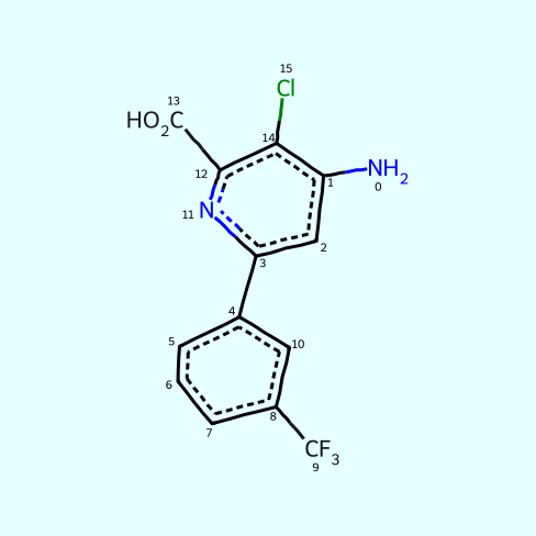 Nc1cc(-c2cccc(C(F)(F)F)c2)nc(C(=O)O)c1Cl